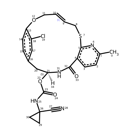 Cc1ccc2c(n1)SC/C=C/COc1ccc(cc1Cl)C[C@H](OC(=O)NC1(C#N)CC1)NC2=O